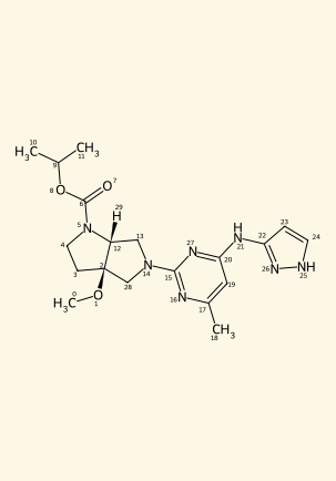 CO[C@@]12CCN(C(=O)OC(C)C)[C@@H]1CN(c1nc(C)cc(Nc3cc[nH]n3)n1)C2